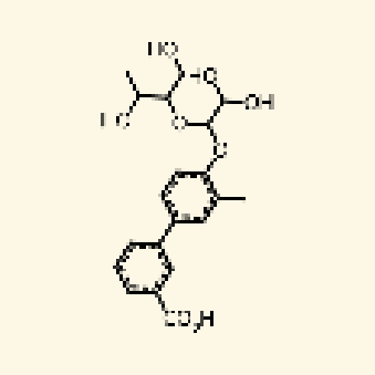 Cc1cc(-c2cccc(C(=O)O)c2)ccc1OC(OC(CO)C(C)O)C(O)O